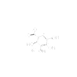 O=C([O-])c1cc(O)c(O)c(O)c1O.[K+]